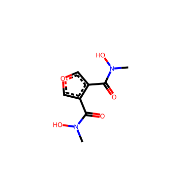 CN(O)C(=O)c1cocc1C(=O)N(C)O